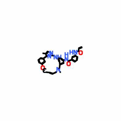 C=CC(=O)Nc1cccc(C(=O)Nc2cc3cc(c2)Nc2ncc(C)c(n2)-c2cccc(c2)OCC/C=C/CN(C)C3)c1